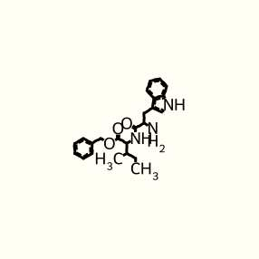 CCC(C)C(NC(=O)C(N)Cc1c[nH]c2ccccc12)C(=O)OCc1ccccc1